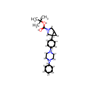 CC(C)(C)OC(=O)N1CC2CC2(c2ccc(N3CCN(c4ccccc4)CC3)cc2)C1